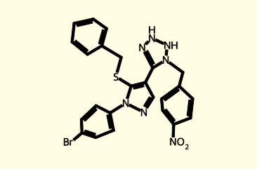 O=[N+]([O-])c1ccc(CN2NNN=C2c2cnn(-c3ccc(Br)cc3)c2SCc2ccccc2)cc1